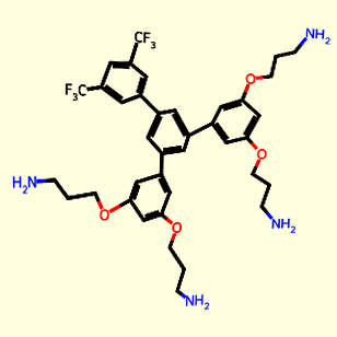 NCCCOc1cc(OCCCN)cc(-c2cc(-c3cc(OCCCN)cc(OCCCN)c3)cc(-c3cc(C(F)(F)F)cc(C(F)(F)F)c3)c2)c1